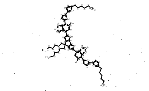 CCCCCCc1ccc(-c2ccc(-c3c(F)cc(-c4cc5c(s4)-c4sc(-c6cc(F)c(-c7ccc(-c8ccc(CCCCCC)s8)s7)c7nsnc67)cc4C5(CCCCCC)CCCCCC)c4nsnc34)s2)s1